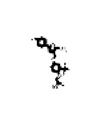 Cc1oc(-c2ccc(Cl)cc2)cc1CSc1ccc(OCC(=O)O)c(C(F)(F)F)c1